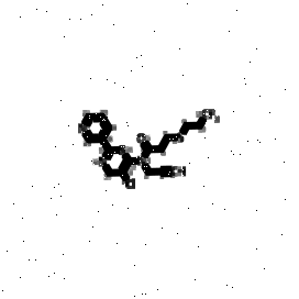 C#CCN(C(=O)CCSCCC(F)(F)F)C1=C(Cl)CN=C(c2cccnc2)S1